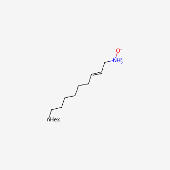 CCCCCCCCCCCCC=CC[NH2+][O-]